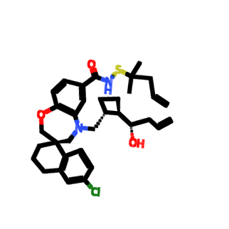 C=CC[C@H](O)[C@@H]1CC[C@H]1CN1C[C@@]2(CCCc3cc(Cl)ccc32)COc2ccc(C(=O)NSC(C)(C)CC=C)cc21